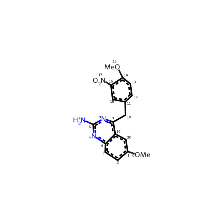 COc1ccc2nc(N)nc(Cc3ccc(OC)c([N+](=O)[O-])c3)c2c1